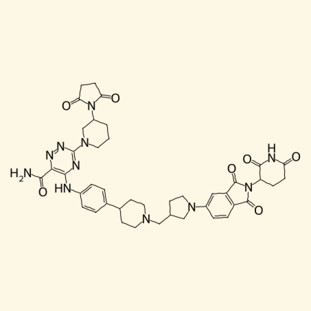 NC(=O)c1nnc(N2CCCC(N3C(=O)CCC3=O)C2)nc1Nc1ccc(C2CCN(CC3CCN(c4ccc5c(c4)C(=O)N(C4CCC(=O)NC4=O)C5=O)C3)CC2)cc1